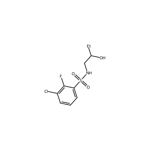 CCC(O)CNS(=O)(=O)c1cccc(Cl)c1F